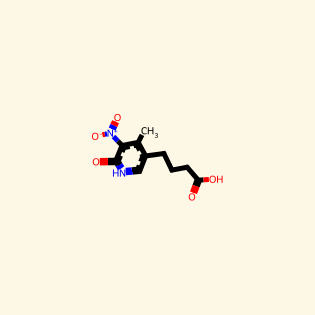 Cc1c(CCCC(=O)O)c[nH]c(=O)c1[N+](=O)[O-]